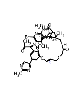 CCC1N2C(=O)Cn3nc(C(C)=O)c4cc(-c5cnc(C)nc5)cc(c43)C/C=C/CCCC(=O)NC[C@@]1(C)C[C@H]2C(=O)N(C)c1nc(Br)cc(C)c1C